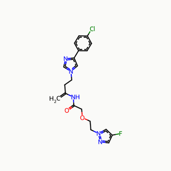 C=C(CCn1cnc(-c2ccc(Cl)cc2)c1)NC(=O)COCCn1cc(F)cn1